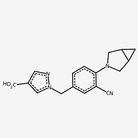 N#Cc1cc(Cn2cc(C(=O)O)cn2)ccc1N1CC2CC2C1